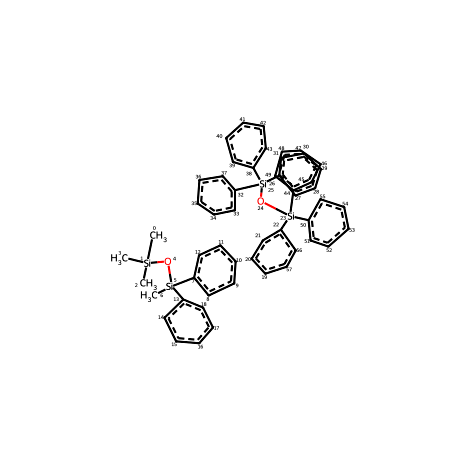 C[Si](C)(C)O[Si](C)(c1ccccc1)c1ccccc1.c1ccc([Si](O[Si](c2ccccc2)(c2ccccc2)c2ccccc2)(c2ccccc2)c2ccccc2)cc1